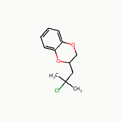 CC(C)(Cl)CC1COc2ccccc2O1